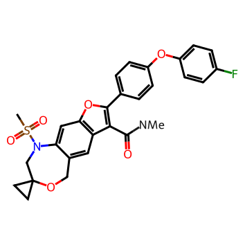 CNC(=O)c1c(-c2ccc(Oc3ccc(F)cc3)cc2)oc2cc3c(cc12)COC1(CC1)CN3S(C)(=O)=O